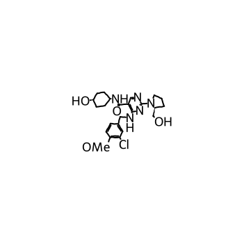 COc1ccc(CNc2nc(N3CCC[C@H]3CO)ncc2C(=O)N[C@H]2CC[C@H](O)CC2)cc1Cl